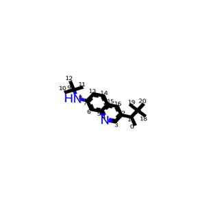 CC(c1cnc2cc(NC(C)(C)C)ccc2c1)C(C)(C)C